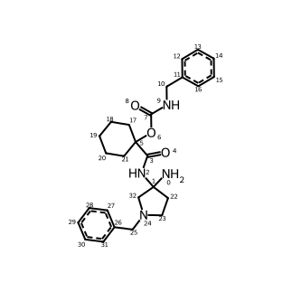 NC1(NC(=O)C2(OC(=O)NCc3ccccc3)CCCCC2)CCN(Cc2ccccc2)C1